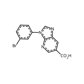 O=C(O)c1cnc2c(c1)ncn2-c1cccc(Br)c1